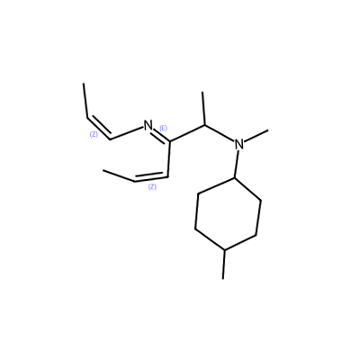 C\C=C/N=C(\C=C/C)C(C)N(C)C1CCC(C)CC1